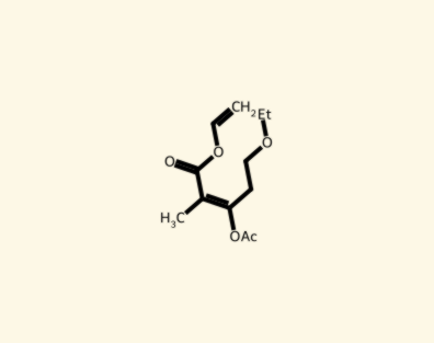 C=COC(=O)C(C)=C(CCOCC)OC(C)=O